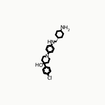 N[C@H]1CC[C@H](CNc2ccc(N3CCC(O)(c4ccc(Cl)cc4)CC3)cc2)CC1